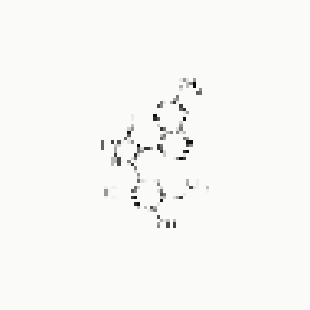 CCc1cc(-c2n[nH]c(=S)n2-c2cccc3cc(C)ccc23)c(O)cc1O